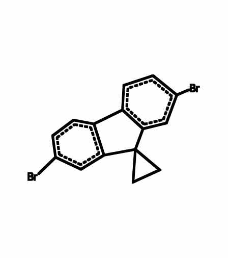 Brc1ccc2c(c1)C1(CC1)c1cc(Br)ccc1-2